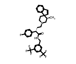 C[C@H]1CN(CC[C@H](C(=O)NCc2cc(C(F)(F)F)cc(C(F)(F)F)c2)c2ccc(F)cc2)CCC12C=Cc1ccccc12